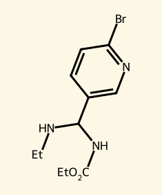 CCNC(NC(=O)OCC)c1ccc(Br)nc1